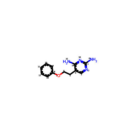 Nc1ncc(CCOc2ccccc2)c(N)n1